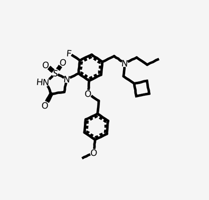 CCCN(Cc1cc(F)c(N2CC(=O)NS2(=O)=O)c(OCc2ccc(OC)cc2)c1)CC1CCC1